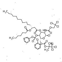 CCCCCCCCCCC[C@H](CC(=O)O[C@@H]1[C@@H](NC(=O)OCC(Cl)(Cl)Cl)[C@@H](Cl)O[C@H](COC(=O)OC(C)(C)C(Cl)(Cl)Cl)[C@H]1OP(=O)(Oc1ccccc1)Oc1ccccc1)OC(=O)CCCCCC